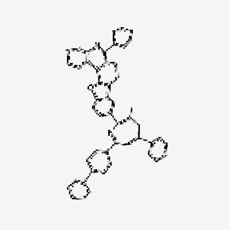 CC1=C(c2ccc3oc4c(ccc5c(-c6ccccc6)nc6ccccc6c54)c3c2)N=C(c2ccc(-c3ccccc3)cc2)C=C(c2ccccc2)C1